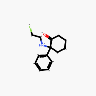 O=C1CCCCC1(NCCF)c1ccccc1